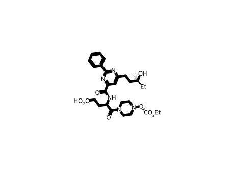 CCOC(=O)ON1CCN(C(=O)C(CCC(=O)O)NC(=O)c2cc(CC[C@@H](O)CC)nc(-c3ccccc3)n2)CC1